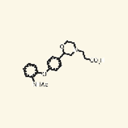 CC(=O)Nc1ccccc1Oc1ccc(C2CN(CCC(=O)O)CCO2)cc1